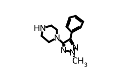 Cn1nc(-c2ccccc2)c(N2CCNCC2)n1